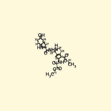 CCOC(=O)C(=O)Nc1sc2c(c1C(=O)OCC)CCNC2CNC(=O)c1cc2cc(O)ccc2[nH]1